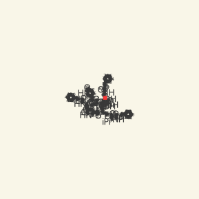 CC(C)[C@H](NC(=O)OCc1ccccc1)C(=O)OCCC(OC(=O)c1ccc(=O)[nH]c1)OP(=O)(OC(CCOC(=O)[C@@H](NC(=O)OCc1ccccc1)C(C)C)OC(=O)c1ccc(=O)[nH]c1)C(O)(CCCNC(=O)OCc1ccccc1)P(=O)(O)O